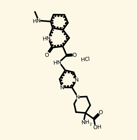 CNc1cccc2cc(C(=O)Nc3cnc(N4CCC(N)(C(=O)O)CC4)nc3)c(=O)[nH]c12.Cl